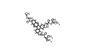 C#CCNC(=O)c1ccc2nc(-c3cccc(CNC(=O)CN(C)C)c3)c(-c3cccc(CNC(=O)CN(C)C)c3)nc2c1